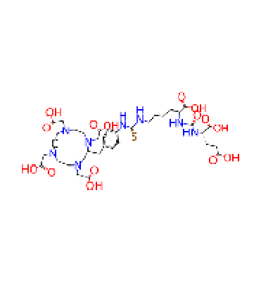 O=C(O)CC[C@H](NC(=O)N[C@@H](CCCCNC(=S)Nc1ccc(CC2CN(CC(=O)O)CCN(CC(=O)O)CCN(CC(=O)O)CCN2CC(=O)O)cc1)C(=O)O)C(=O)O